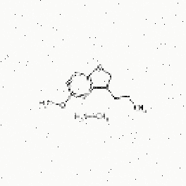 CCCC1COc2ccc(OC)cc21.CN